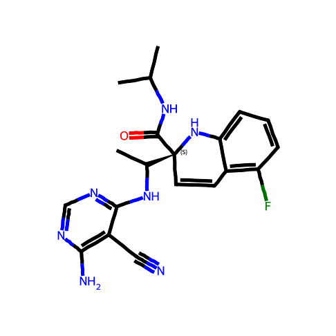 CC(C)NC(=O)[C@@]1(C(C)Nc2ncnc(N)c2C#N)C=Cc2c(F)cccc2N1